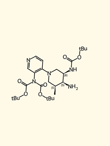 C[C@H]1CN(c2ccncc2N(C(=O)OC(C)(C)C)C(=O)OC(C)(C)C)C[C@@H](NC(=O)OC(C)(C)C)[C@H]1N